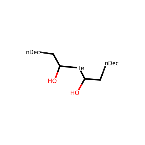 CCCCCCCCCCCC(O)[Te]C(O)CCCCCCCCCCC